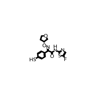 O=C(Nc1ncc(F)s1)/C(=N/O[C@@H]1CCOC1)c1ccc(S)cc1